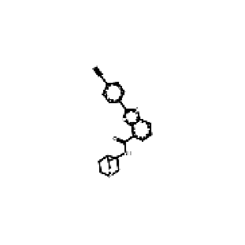 C#Cc1ccc(-c2nc3c(C(=O)NC4CN5CCC4CC5)cccc3o2)cc1